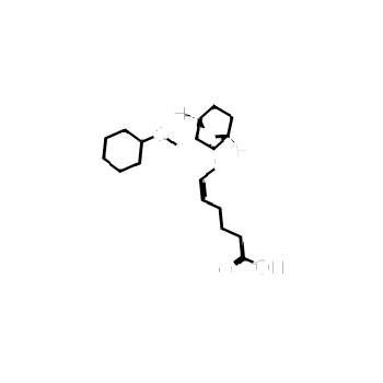 O=C(O)CCC/C=C\C[C@@H]1[C@H](CSC2CCCCC2)[C@@H]2CC[C@H]1S2